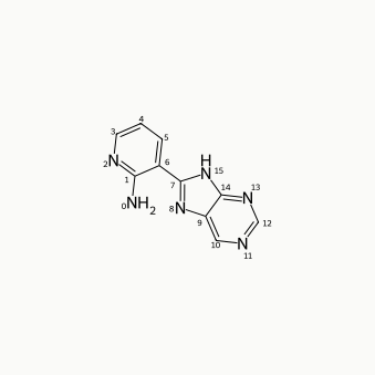 Nc1ncccc1-c1nc2cncnc2[nH]1